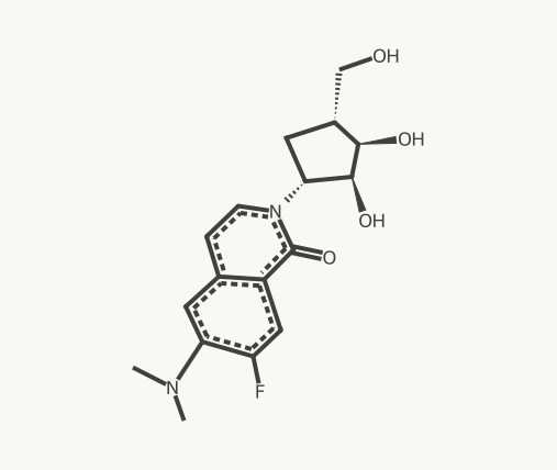 CN(C)c1cc2ccn([C@@H]3C[C@H](CO)[C@@H](O)[C@H]3O)c(=O)c2cc1F